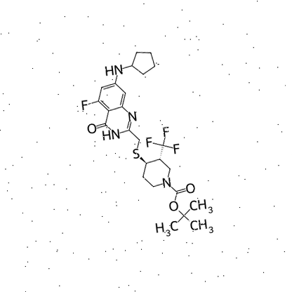 CC(C)(C)OC(=O)N1CC[C@@H](SCc2nc3cc(NC4CCCC4)cc(F)c3c(=O)[nH]2)[C@H](C(F)(F)F)C1